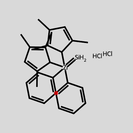 CC1=CC(C)=C(C)[CH]1[Zr](=[SiH2])([c]1ccccc1)([c]1ccccc1)[CH]1C(C)=CC(C)=C1C.Cl.Cl